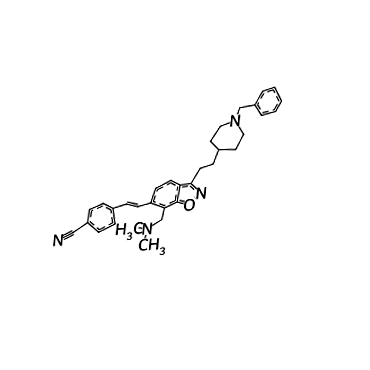 CN(C)Cc1c(C=Cc2ccc(C#N)cc2)ccc2c(CCC3CCN(Cc4ccccc4)CC3)noc12